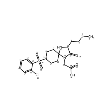 CSCCC1NC2(CCN(S(=O)(=O)c3ccccc3Cl)CC2)N(CC(=O)O)C1=O